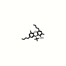 CCCCc1cc(C)c(O)c(P(c2cc(CCCC)cc(C)c2O)C(C)(C)C)c1